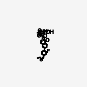 CCN(C)Cc1ccc(-c2ccc3c(=O)n(CC[C@](C)(C(=O)NO)S(C)(=O)=O)ccc3c2)c(F)c1